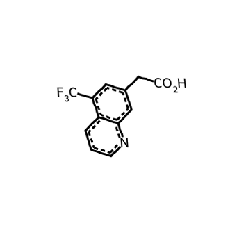 O=C(O)Cc1cc(C(F)(F)F)c2cccnc2c1